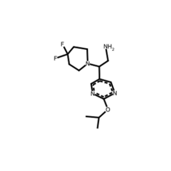 CC(C)Oc1ncc(C(CN)N2CCC(F)(F)CC2)cn1